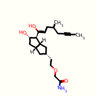 CC#CCC(C)CC=C(O)[C@H]1[C@@H]2C[C@H](CCOCC(N)=O)C[C@@H]2C[C@@H]1O